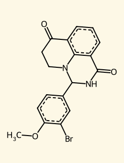 COc1ccc(C2NC(=O)c3cccc4c3N2CCC4=O)cc1Br